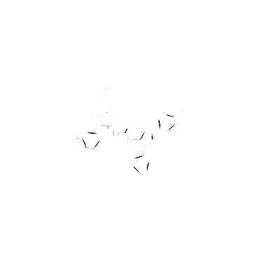 COCC[C@@H]1C[C@@H](NC(=O)Nc2c(C)c(-c3ccc(O)nc3)nn2-c2ccccc2)[C@H](c2ccc(F)c(F)c2)N1C